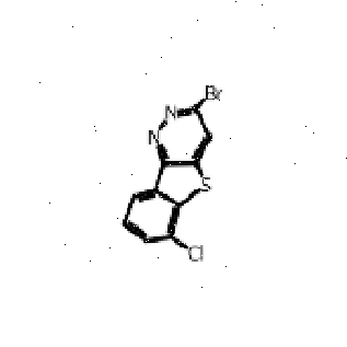 Clc1cccc2c1sc1cc(Br)nnc12